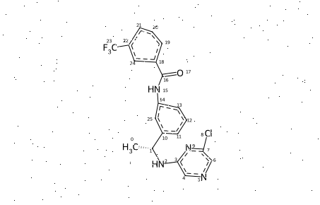 C[C@@H](Nc1cncc(Cl)n1)c1cccc(NC(=O)c2cccc(C(F)(F)F)c2)c1